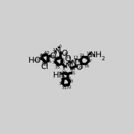 CN(C)C(=O)c1cc(CN2C(=O)N(C[C@@H]3CCC[C@H](CN)C3)C(=O)[C@@H]2Cc2c[nH]c3ccccc23)ccc1Oc1ccc(O)c(Cl)c1